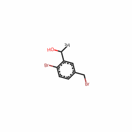 [2H]C(O)c1cc(CBr)ccc1Br